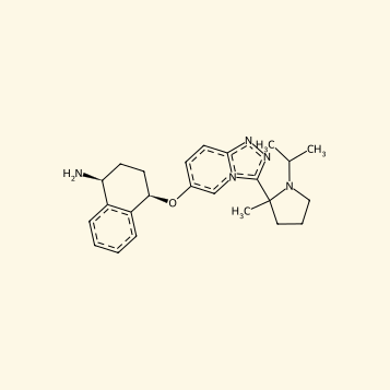 CC(C)N1CCCC1(C)c1nnc2ccc(O[C@@H]3CC[C@H](N)c4ccccc43)cn12